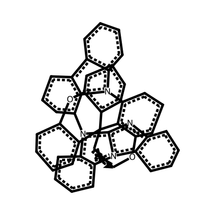 c1ccc2c(c1)Oc1ccccc1C21c2ccccc2Oc2cccc(-n3c4ccccc4c4cccc(-n5c6ccccc6n6c7ccccc7nc56)c43)c21